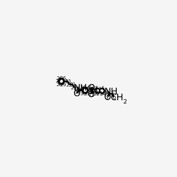 C=CC(=O)NC1CC2CN(S(=O)(=O)c3ccc(C(=O)NCCCCc4ccccc4)cc3)CC2C1